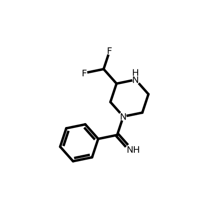 N=C(c1ccccc1)N1CCNC(C(F)F)C1